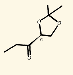 CCC(=O)[C@@H]1COC(C)(C)O1